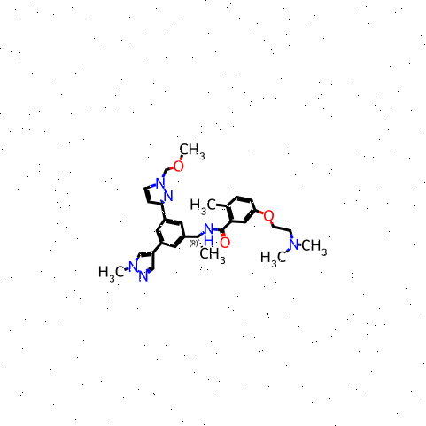 COCn1ccc(-c2cc(-c3cnn(C)c3)cc([C@@H](C)NC(=O)c3cc(OCCN(C)C)ccc3C)c2)n1